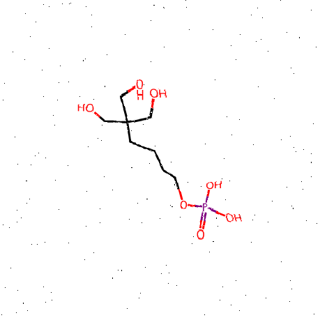 O=P(O)(O)OCCCCC(CO)(CO)CO